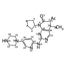 CC(=O)C1C(=O)N(C2CCCC2)c2nc(Nc3ccc(N4CCNCC4)cn3)ncc2C1C